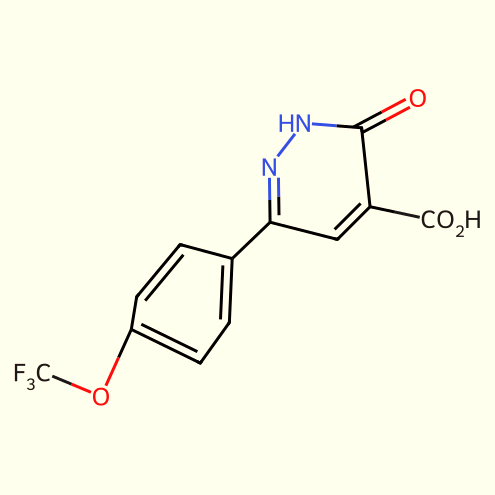 O=C(O)c1cc(-c2ccc(OC(F)(F)F)cc2)n[nH]c1=O